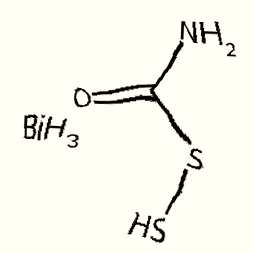 NC(=O)SS.[BiH3]